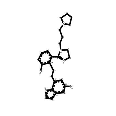 Clc1cccc(C2=NCCN2CCCN2CCCC2)c1CCc1cc(Br)cc2ccsc12